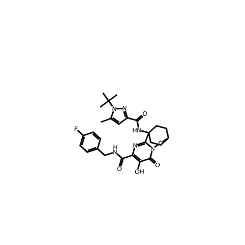 Cc1cc(C(=O)NC23CCC(CC2)Cn2c3nc(C(=O)NCc3ccc(F)cc3)c(O)c2=O)nn1C(C)(C)C